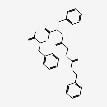 COC(=O)[C@H](Cc1ccccc1)NC(=O)[C@H](Cc1ccccc1)NC(=O)CNC(=O)OCc1ccccc1